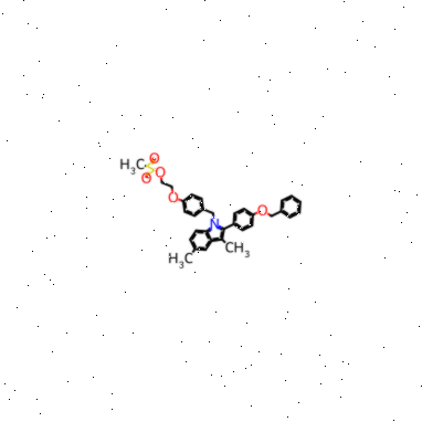 Cc1ccc2c(c1)c(C)c(-c1ccc(OCc3ccccc3)cc1)n2Cc1ccc(OCCOS(C)(=O)=O)cc1